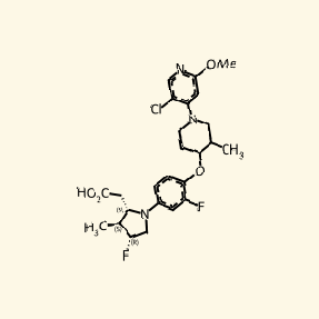 COc1cc(N2CCC(Oc3ccc(N4C[C@H](F)[C@@H](C)[C@@H]4CC(=O)O)cc3F)C(C)C2)c(Cl)cn1